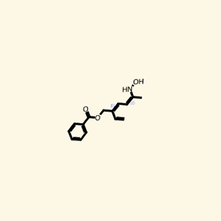 C=C/C(=C\C=C(\C)NO)COC(=O)c1ccccc1